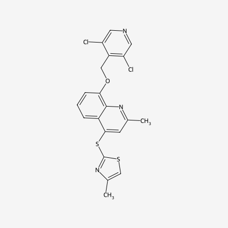 Cc1csc(Sc2cc(C)nc3c(OCc4c(Cl)cncc4Cl)cccc23)n1